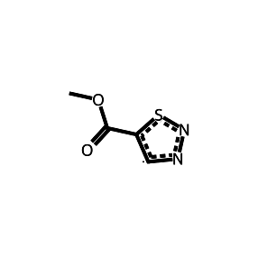 COC(=O)c1[c]nns1